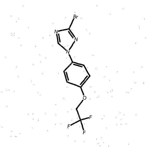 FC(F)(F)COc1ccc(-n2cnc(Br)n2)cc1